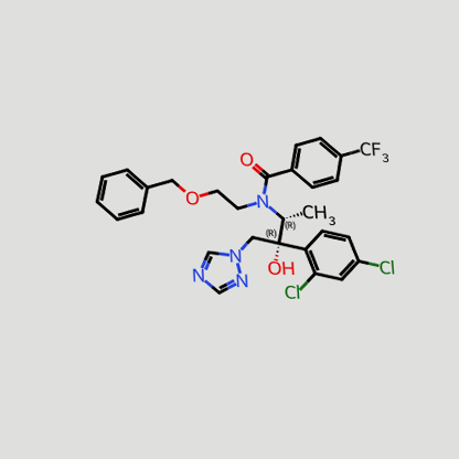 C[C@@H](N(CCOCc1ccccc1)C(=O)c1ccc(C(F)(F)F)cc1)[C@](O)(Cn1cncn1)c1ccc(Cl)cc1Cl